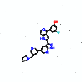 Oc1cc(F)cc(-c2nccc3[nH]c(-c4n[nH]c5ncc(-c6cncc(CN7CCCC7)c6)cc45)cc23)c1